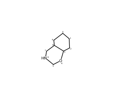 C1CCC2OCNCC2C1